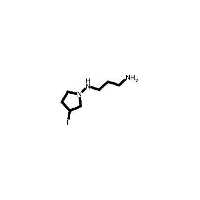 NCCCNN1CCC(I)C1